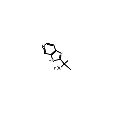 CCCCC(C)(C)c1nc2ccncc2[nH]1